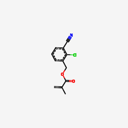 C=C(C)C(=O)OCc1cccc(C#N)c1Cl